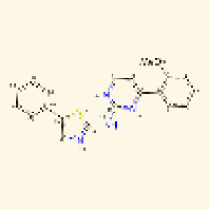 COc1ccccc1-c1ccnc(Nc2ncc(-c3ccccc3)s2)n1